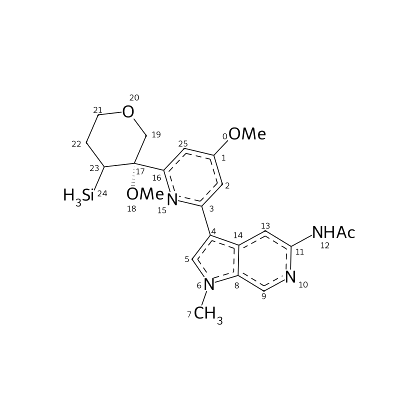 COc1cc(-c2cn(C)c3cnc(NC(C)=O)cc23)nc([C@]2(OC)COCCC2[SiH3])c1